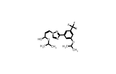 CC(C)Oc1cc(-c2ncn(/C=C\C(O)OC(C)C)n2)cc(C(F)(F)F)c1